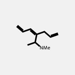 C=C/C=C(/CC=C)C(C)NC